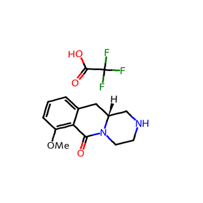 COc1cccc2c1C(=O)N1CCNC[C@H]1C2.O=C(O)C(F)(F)F